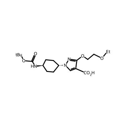 CCOCCOc1nn([C@H]2CC[C@H](NC(=O)OC(C)(C)C)CC2)cc1C(=O)O